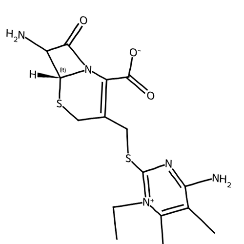 CC[n+]1c(SCC2=C(C(=O)[O-])N3C(=O)C(N)[C@H]3SC2)nc(N)c(C)c1N